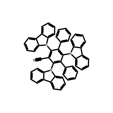 N#Cc1c(-n2c3ccccc3c3ccccc32)c(-c2ccccc2)c(-n2c3ccccc3c3ccccc32)c(-c2ccccc2)c1-n1c2ccccc2c2ccccc21